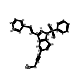 O=S(=O)(c1ccccc1)n1nc(C=Cc2cccnc2)c2cc(C#CCO)ccc21